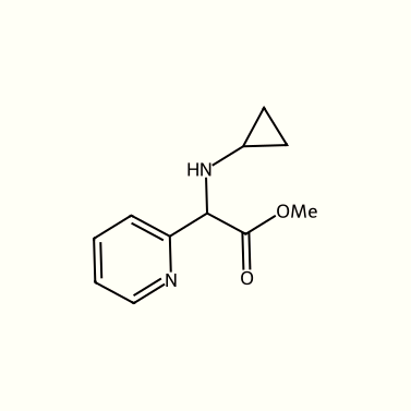 COC(=O)C(NC1CC1)c1ccccn1